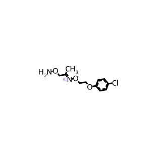 C/C(CON)=N\OCCOc1ccc(Cl)cc1